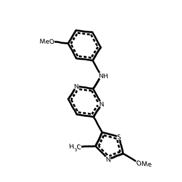 COc1cccc(Nc2nccc(-c3sc(OC)nc3C)n2)c1